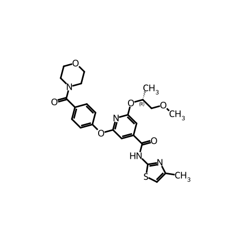 COC[C@@H](C)Oc1cc(C(=O)Nc2nc(C)cs2)cc(Oc2ccc(C(=O)N3CCOCC3)cc2)n1